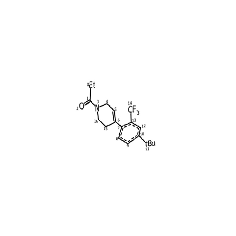 CCC(=O)N1CC=C(c2ccc(C(C)(C)C)cc2C(F)(F)F)CC1